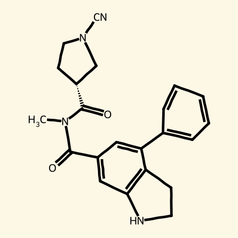 CN(C(=O)c1cc2c(c(-c3ccccc3)c1)CCN2)C(=O)[C@@H]1CCN(C#N)C1